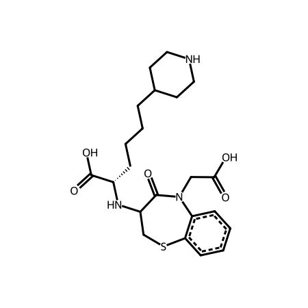 O=C(O)CN1C(=O)C(N[C@@H](CCCCC2CCNCC2)C(=O)O)CSc2ccccc21